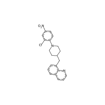 O=[N+]([O-])c1ccc(N2CCC(Cc3cccc4cccnc34)CC2)c(Cl)c1